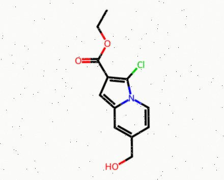 CCOC(=O)c1cc2cc(CO)ccn2c1Cl